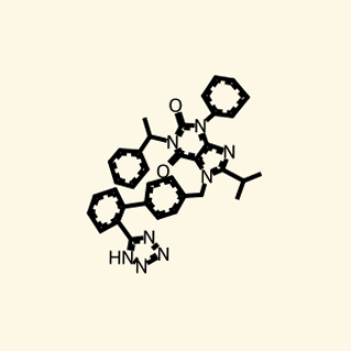 CC(C)c1nc2c(c(=O)n(C(C)c3ccccc3)c(=O)n2-c2ccccc2)n1Cc1ccc(-c2ccccc2-c2nnn[nH]2)cc1